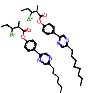 CCCCCCCCc1cnc(-c2ccc(OC(=O)C(C)C(Br)CC)cc2)cn1.CCCCCCCc1cnc(-c2ccc(OC(=O)C(C)C(Br)CC)cc2)cn1